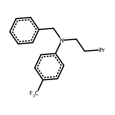 CC(C)CCN(Cc1ccccc1)c1ccc(C(F)(F)F)cc1